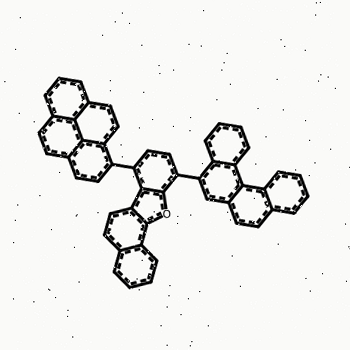 c1ccc2c(c1)ccc1c2oc2c(-c3cc4ccc5ccccc5c4c4ccccc34)ccc(-c3ccc4ccc5cccc6ccc3c4c56)c21